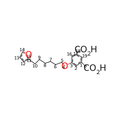 O=C(O)c1cc(OCCCCCCc2ccco2)cc(C(=O)O)c1